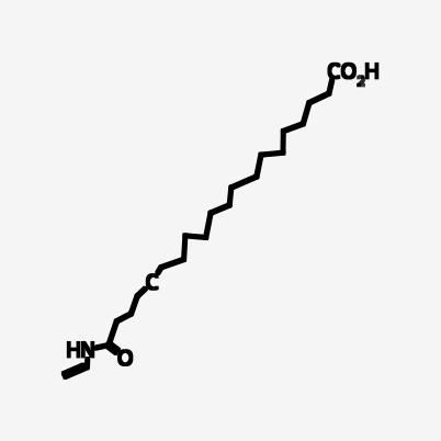 C=CNC(=O)CCCCCCCCCCCCCCCCCCC(=O)O